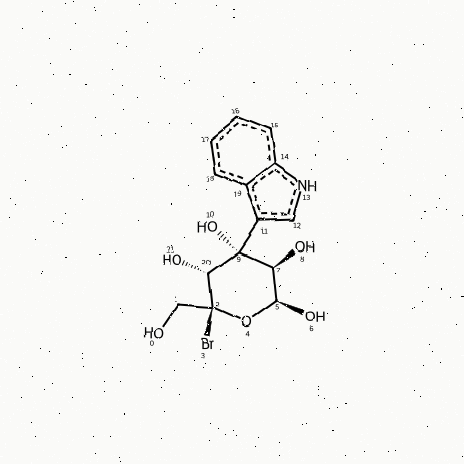 OC[C@@]1(Br)O[C@H](O)[C@H](O)[C@](O)(c2c[nH]c3ccccc23)[C@H]1O